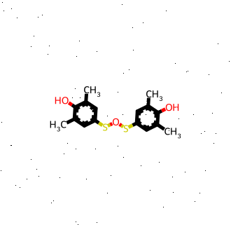 Cc1cc(SOSc2cc(C)c(O)c(C)c2)cc(C)c1O